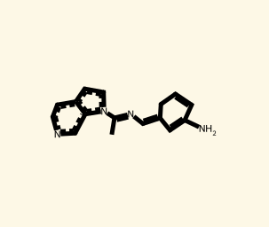 C/C(=N\C=C1\C=C(N)C=CC1)n1ccc2ccncc21